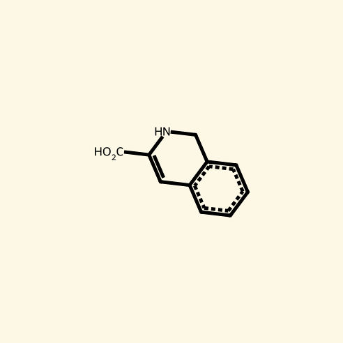 O=C(O)C1=Cc2ccccc2CN1